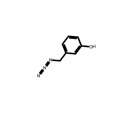 [N-]=[N+]=NCc1cccc(O)c1